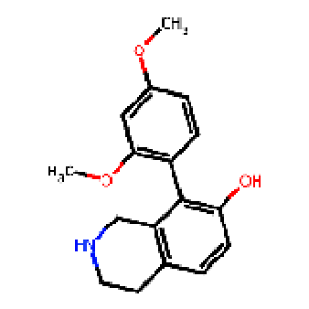 COc1ccc(-c2c(O)ccc3c2CNCC3)c(OC)c1